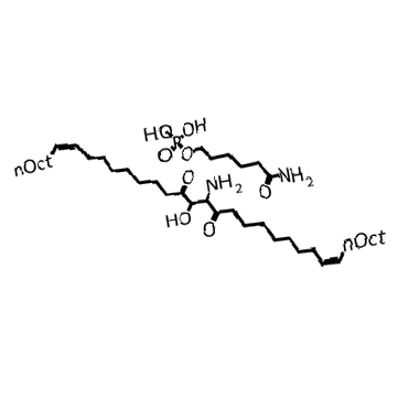 CCCCCCCC/C=C\CCCCCCCC(=O)C(N)C(O)C(=O)CCCCCCC/C=C\CCCCCCCC.NC(=O)CCCCCOP(=O)(O)O